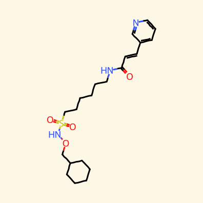 O=C(/C=C/c1cccnc1)NCCCCCCS(=O)(=O)NOCC1CCCCC1